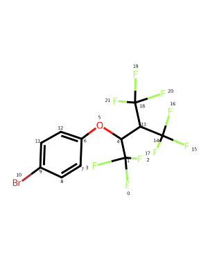 FC(F)(F)C(Oc1ccc(Br)cc1)C(C(F)(F)F)C(F)(F)F